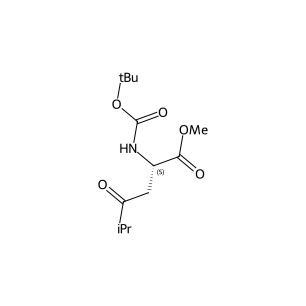 COC(=O)[C@H](CC(=O)C(C)C)NC(=O)OC(C)(C)C